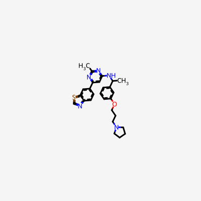 Cc1nc(NC(C)c2cccc(OCCCN3CCCC3)c2)cc(-c2ccc3ncsc3c2)n1